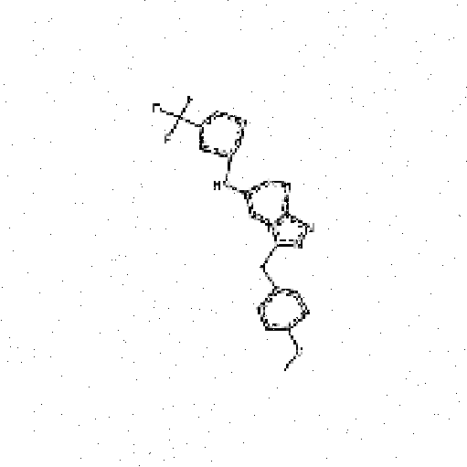 COc1ccc(Cc2nnc3ccc(Nc4cccc(C(F)(F)F)c4)nn23)cc1